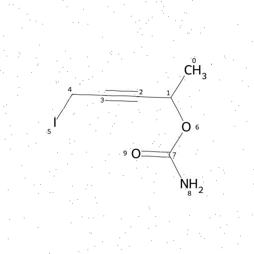 CC(C#CCI)OC(N)=O